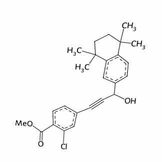 COC(=O)c1ccc(C#CC(O)c2ccc3c(c2)C(C)(C)CCC3(C)C)cc1Cl